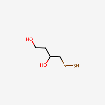 OCCC(O)CSS